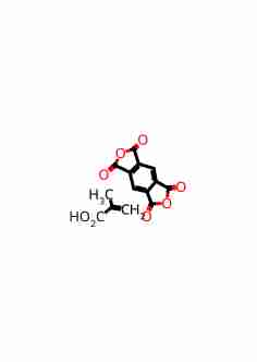 C=C(C)C(=O)O.O=c1oc(=O)c2cc3c(=O)oc(=O)c3cc12